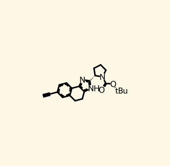 C#Cc1ccc2c(c1)CCc1[nH]c([C@@H]3CCCN3C(=O)OC(C)(C)C)nc1-2